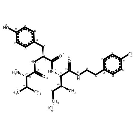 CC[C@H](C)[C@H](NC(=O)[C@H](Cc1ccc(O)cc1)NC(=O)[C@@H](N)C(C)C)C(=O)NCCc1ccc(Cl)cc1.Cl